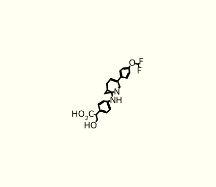 O=C(O)[C@@H](CO)c1ccc(NC23CC2CC=C(c2ccc(OC(F)F)cc2)C=N3)cc1